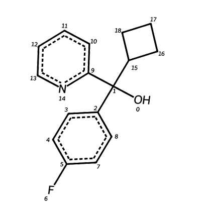 OC(c1ccc(F)cc1)(c1ccccn1)C1CCC1